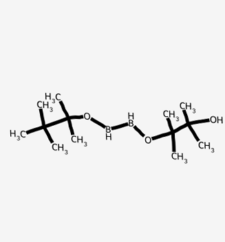 CC(C)(C)C(C)(C)OBBOC(C)(C)C(C)(C)O